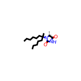 CCCCCCC(C)(CCCCC)N1C(=O)NC(=O)[C@H]1C